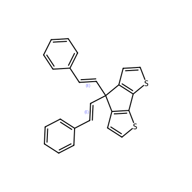 C(=C\C1(/C=C/c2ccccc2)c2ccsc2-c2sccc21)/c1ccccc1